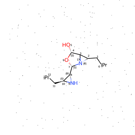 CC(C)CC1C2[C@@H](O)O[C@@H]([C@@H]3N[C@H]3CC(C)C)[N@@]12